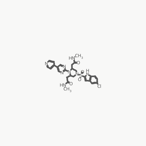 CNC(=O)CC1CN(S(=O)(=O)c2cc3cc(Cl)ccc3[nH]2)CC(CC(=O)NC)N1c1ncc(-c2ccncc2)cn1